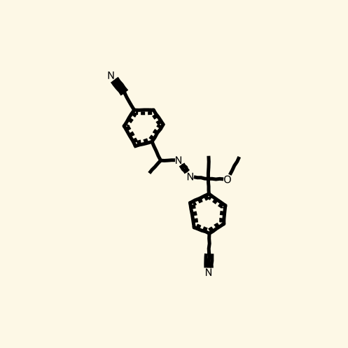 COC(C)(/N=N/C(C)c1ccc(C#N)cc1)c1ccc(C#N)cc1